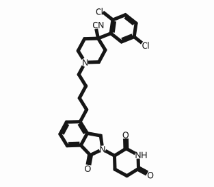 N#CC1(c2cc(Cl)ccc2Cl)CCN(CCCCc2cccc3c2CN(C2CCC(=O)NC2=O)C3=O)CC1